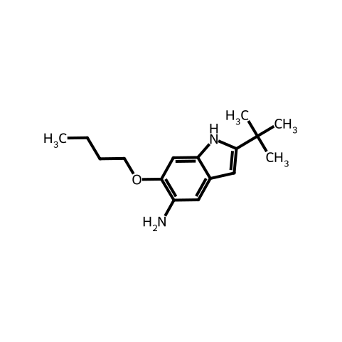 CCCCOc1cc2[nH]c(C(C)(C)C)cc2cc1N